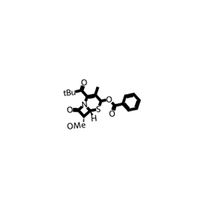 CO[C@@H]1C(=O)N2C(C(=O)C(C)(C)C)=C(C)C(OC(=O)c3ccccc3)S[C@H]12